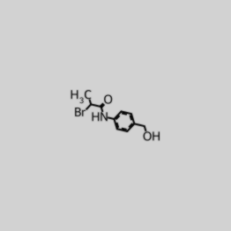 CC(Br)C(=O)Nc1ccc(CO)cc1